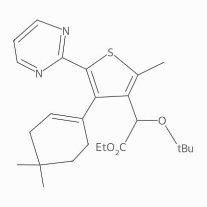 CCOC(=O)C(OC(C)(C)C)c1c(C)sc(-c2ncccn2)c1C1=CCC(C)(C)CC1